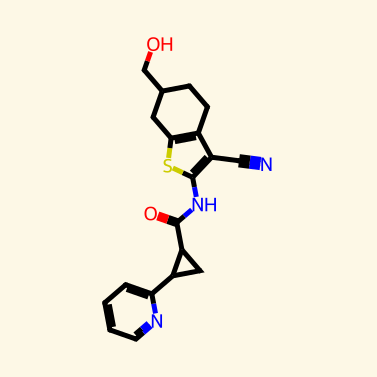 N#Cc1c(NC(=O)C2CC2c2ccccn2)sc2c1CCC(CO)C2